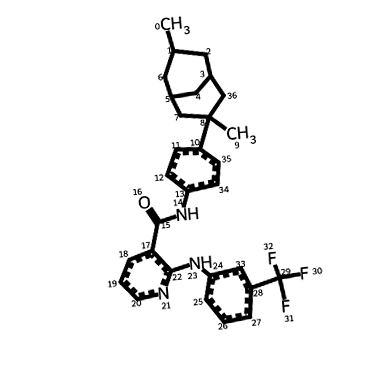 CC1CC2CC(C1)CC(C)(c1ccc(NC(=O)c3cccnc3Nc3cccc(C(F)(F)F)c3)cc1)C2